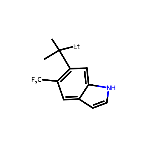 CCC(C)(C)c1cc2[nH]ccc2cc1C(F)(F)F